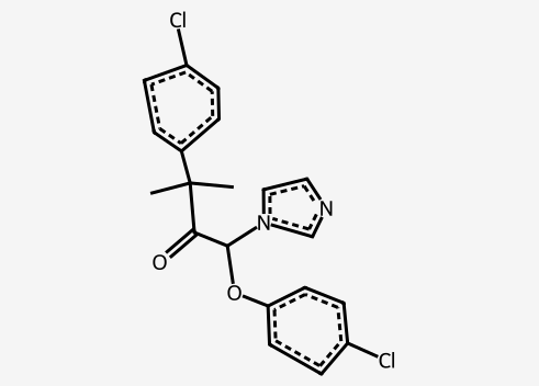 CC(C)(C(=O)C(Oc1ccc(Cl)cc1)n1ccnc1)c1ccc(Cl)cc1